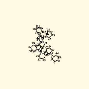 c1ccc(-c2ccc(-c3cc4c(nc(-c5ccncc5)n4-c4ccccn4)c4c5ccccc5n(-c5ccccc5)c34)cc2)cc1